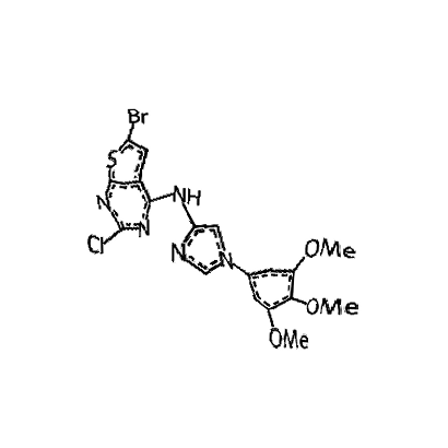 COc1cc(-n2cnc(Nc3nc(Cl)nc4sc(Br)cc34)c2)cc(OC)c1OC